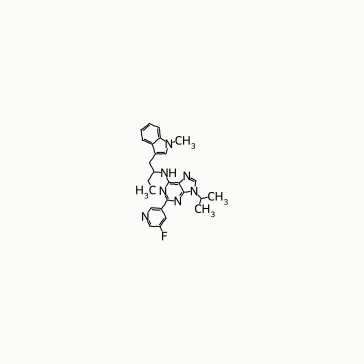 CCC(Cc1cn(C)c2ccccc12)Nc1nc(-c2cncc(F)c2)nc2c1ncn2C(C)C